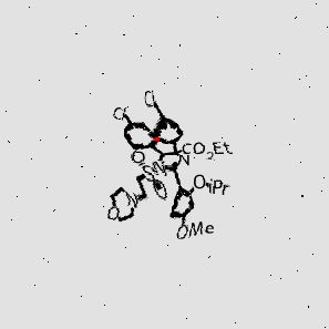 CCOC(=O)C1(c2ccc(Cl)cc2)N=C(c2ccc(OC)cc2OC(C)C)N(S(=O)(=O)CCN2CCOCC2)C1c1ccc(Cl)cc1